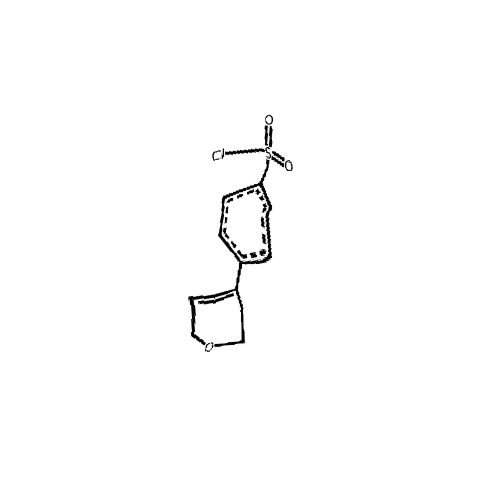 O=S(=O)(Cl)c1ccc(C2=CCOCC2)cc1